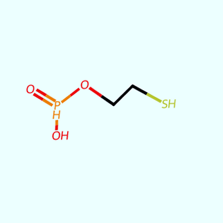 O=[PH](O)OCCS